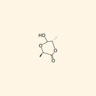 C[C@@H]1OC(=O)[C@@H](C)OC1O